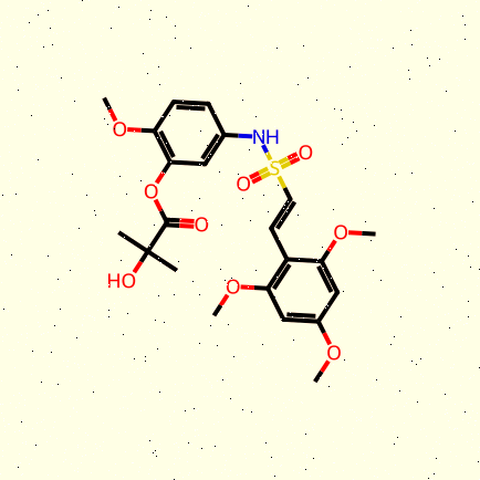 COc1cc(OC)c(C=CS(=O)(=O)Nc2ccc(OC)c(OC(=O)C(C)(C)O)c2)c(OC)c1